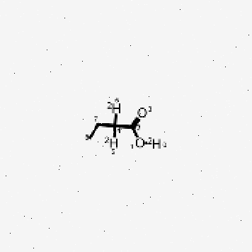 [2H]OC(=O)C([2H])([2H])CC